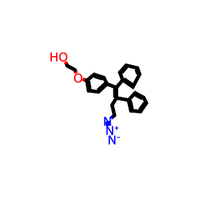 [N-]=[N+]=NCCC(=C(c1ccccc1)c1ccc(OCCO)cc1)c1ccccc1